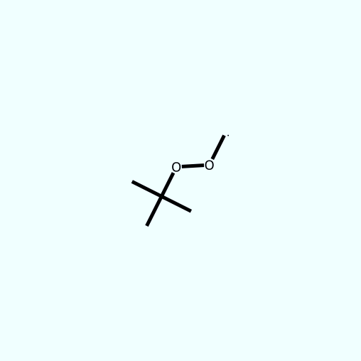 [CH2]OOC(C)(C)C